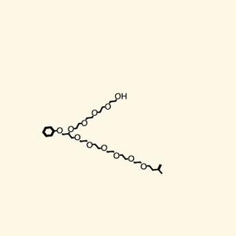 C=C(C)CCOCCOCCOCCOCCOCCOCC(COc1ccccc1)OCCOCCOCCOCCO